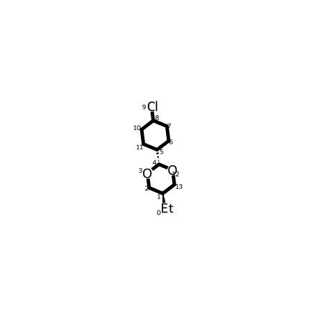 CC[C@H]1CO[C@H](C2CCC(Cl)CC2)OC1